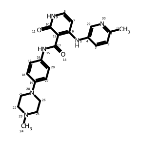 Cc1ccc(Nc2cc[nH]c(=O)c2C(=O)Nc2ccc(N3CCN(C)CC3)cc2)cn1